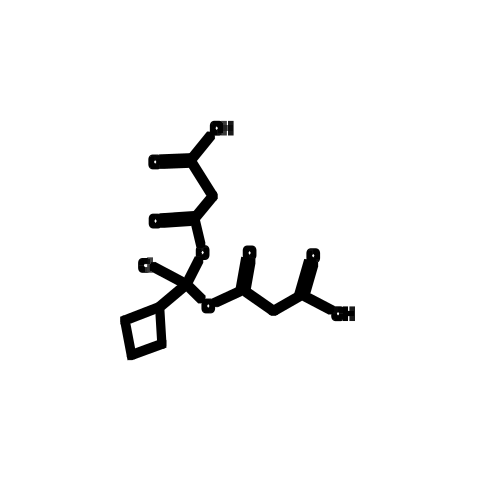 O=C(O)CC(=O)OC(Cl)(OC(=O)CC(=O)O)C1CCC1